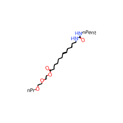 CCCCCNC(=O)NCCCC/C=C/CCCCCC(=O)OCCOCCOCCC